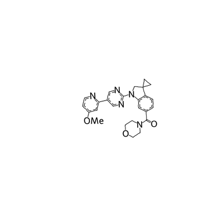 COc1ccnc(-c2cnc(N3CC4(CC4)c4ccc(C(=O)N5CCOCC5)cc43)nc2)c1